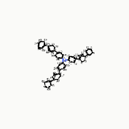 c1ccc(C23CCC(c4ccc(N(c5ccc(C67CCC(c8ccccc8)(CC6)C7)cc5)c5ccc(C67CCC(c8ccccc8)(CC6)C7)cc5)cc4)(CC2)C3)cc1